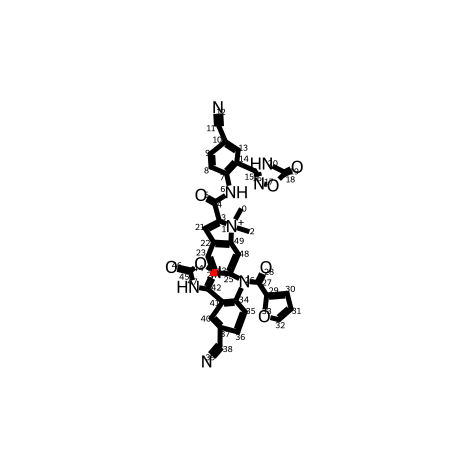 C[N+]1(C)C(C(=O)Nc2ccc(C#N)cc2-c2noc(=O)[nH]2)=Cc2ccc(N(C(=O)c3ccco3)c3ccc(C#N)cc3-c3noc(=O)[nH]3)cc21